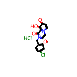 COc1cc(Cl)ccc1Cn1ccn2ccc(=O)c(O)c2c1=O.Cl